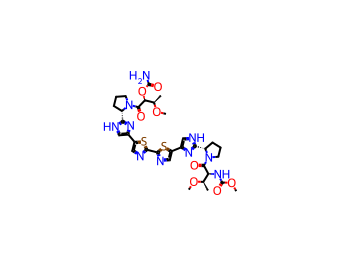 COC(=O)N[C@H](C(=O)N1CCC[C@H]1c1nc(-c2cnc(-c3ncc(-c4c[nH]c([C@@H]5CCCN5C(=O)[C@@H](OC(N)=O)[C@@H](C)OC)n4)s3)s2)c[nH]1)[C@@H](C)OC